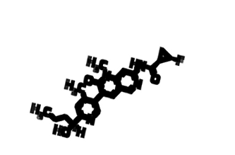 [2H]C(O)(CCC)c1cc(C)c(-c2cc3cnc(NC(=O)[C@H]4C[C@H]4F)cc3n(C)c2=O)cn1